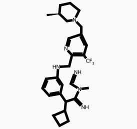 C[C@H]1CCCN(Cc2cnc(CNc3cccc(C(C(=N)N(C)C=N)C4CCC4)c3)c(C(F)(F)F)c2)C1